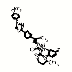 C/C(=C\NC(=O)/N=C1\SCCC(C)N1c1ccc(F)cc1C(C)C)c1ccc(-c2ncn(-c3ccc(OC(F)(F)F)cc3)n2)cc1